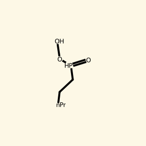 CCCCC[PH](=O)OO